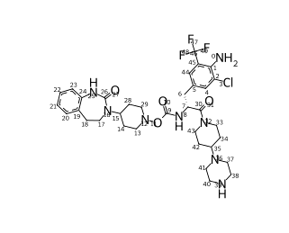 Nc1c(Cl)cc(C[C@@H](NC(=O)ON2CCC(N3CCc4ccccc4NC3=O)CC2)C(=O)N2CCC(N3CCNCC3)CC2)cc1C(F)(F)F